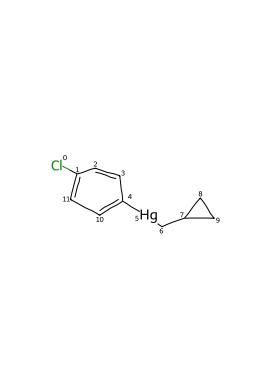 Clc1cc[c]([Hg][CH2]C2CC2)cc1